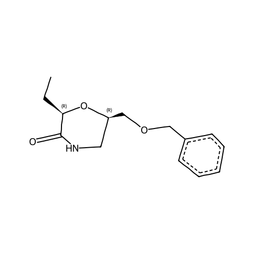 CC[C@H]1O[C@@H](COCc2ccccc2)CNC1=O